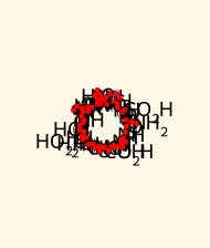 C[C@H]1C(=O)N[C@@H](CC(=O)O)C(=O)N2CCC[C@H]2C(=O)N[C@@H](CN)C(=O)N[C@@H](CCC(=O)O)C(=O)N2C[C@H](O)C[C@H]2C(=O)N[C@@H](Cc2c[nH]c3ccccc23)C(=O)N[C@@H](CO)C(=O)N[C@@H](Cc2c[nH]c3ccccc23)C(=O)N(C)[C@H]2CCCC/C=C\CCCC[C@@H](C(=O)N[C@@H](CCC(=O)O)C(=O)N[C@H](C(=O)NCC(N)=O)CSCC(=O)N[C@@H](Cc3ccc(O)cc3)C(=O)N1C)N(C)C2=O